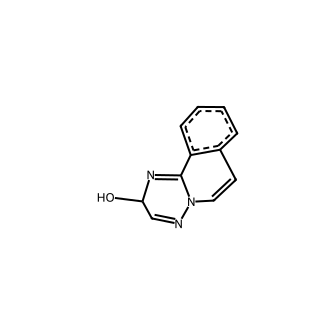 OC1C=NN2C=Cc3ccccc3C2=N1